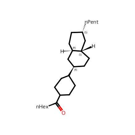 CCCCCCC(=O)C1CCC([C@@H]2CC[C@H]3C[C@@H](CCCCC)CC[C@@H]3C2)CC1